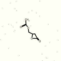 CC(=O)OCC1CC(=O)O1